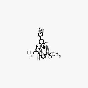 C=CC(=O)Nc1cccc(Nc2nc(Nc3ccc(C4=CCN(C(C)=O)CC4)cc3C)ncc2C)n1